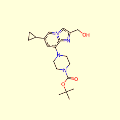 CC(C)(C)OC(=O)N1CCN(c2cc(C3CC3)cn3cc(CO)nc23)CC1